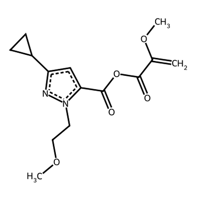 C=C(OC)C(=O)OC(=O)c1cc(C2CC2)nn1CCOC